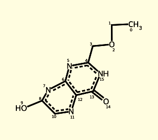 CCOCc1nc2nc(O)cnc2c(=O)[nH]1